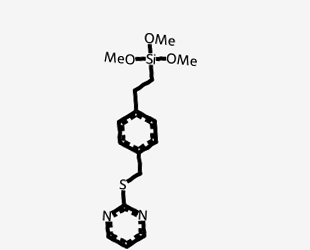 CO[Si](CCc1ccc(CSc2ncccn2)cc1)(OC)OC